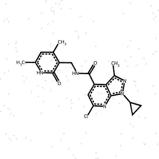 Cc1cc(C)c(CNC(=O)c2cc(Cl)nc3c2c(C)nn3C2CC2)c(=O)[nH]1